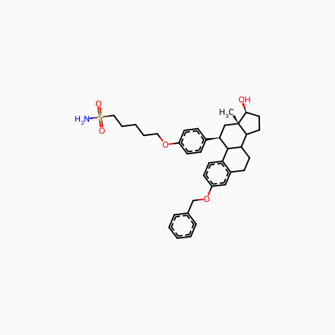 C[C@]12C[C@H](c3ccc(OCCCCCS(N)(=O)=O)cc3)C3c4ccc(OCc5ccccc5)cc4CCC3C1CC[C@@H]2O